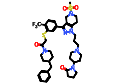 CS(=O)(=O)N1CCc2c(c(-c3ccc(C(F)(F)F)c(SCC(=O)N4CCC(Cc5ccccc5)CC4)c3)nn2CCCN2CCC(N3CCCC3=O)CC2)C1